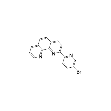 Brc1ccc(-c2ccc3ccc4cccnc4c3n2)nc1